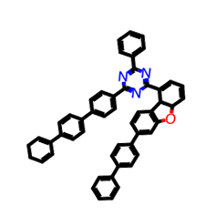 C1=CC2Oc3cc(-c4ccc(-c5ccccc5)cc4)ccc3C2C(c2nc(-c3ccccc3)nc(-c3ccc(-c4ccc(C5=CCCC=C5)cc4)cc3)n2)=C1